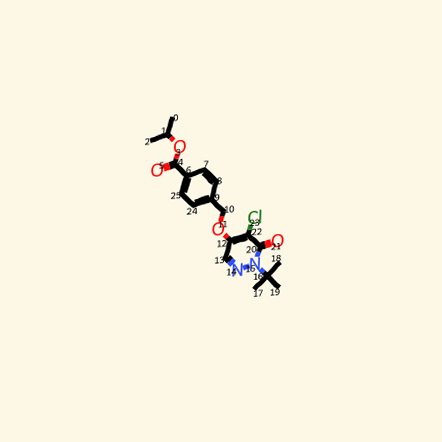 CC(C)OC(=O)c1ccc(COc2cnn(C(C)(C)C)c(=O)c2Cl)cc1